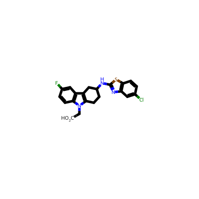 O=C(O)Cn1c2c(c3cc(F)ccc31)CC(Nc1nc3cc(Cl)ccc3s1)CC2